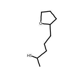 CC(S)CCCC1CCCO1